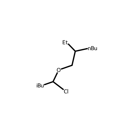 CCCCC(CC)COC(Cl)C(C)CC